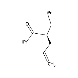 C=CC[C@H](CC(C)C)C(=O)C(C)C